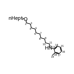 CCCCCCCOCCCCCCCCCCNc1ccccc1C